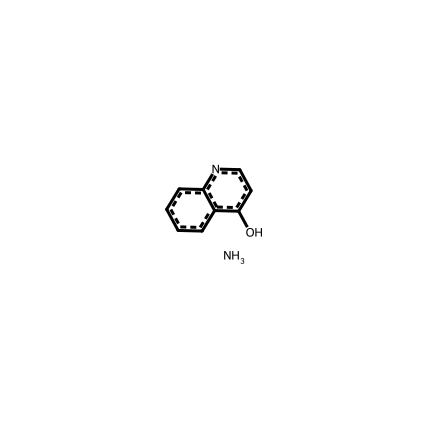 N.Oc1ccnc2ccccc12